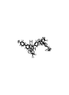 Cc1ncc(S(=N)(=O)c2ccc(C(=O)Nc3cc(-c4ccc(F)cc4)ccc3NC(=O)OC(C)(C)C)cc2)n1COCC[Si](C)(C)C